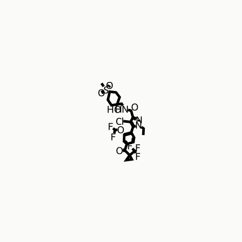 CCn1nc(C(=O)NC[C@]2(O)CC[C@@H](S(C)(=O)=O)CC2)c(Cl)c1-c1ccc(C(=O)C2(C(F)(F)F)CC2)cc1OC(F)F